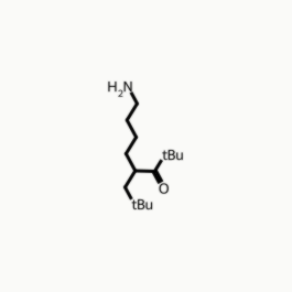 CC(C)(C)CC(CCCCN)C(=O)C(C)(C)C